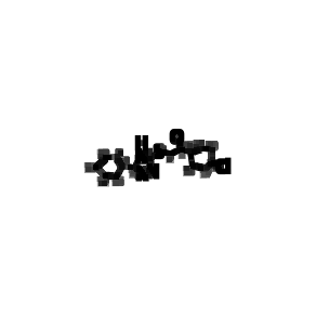 O=C(CSc1nnc(-c2ccccc2)[nH]1)c1ccc(Cl)cc1